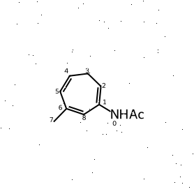 CC(=O)NC1=CCC=CC(C)=C1